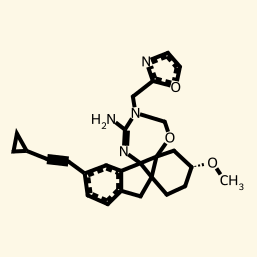 CO[C@@H]1CCC23Cc4ccc(C#CC5CC5)cc4C24N=C(N)N(Cc2ncco2)COC34C1